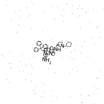 N[C@H]1C[C@@H](C(=O)N2CCC[C@@H]2C(=O)NC[C@H]2CCCN(CC3CCCCC3)C2)N(C(=O)CC(c2ccccc2)(c2ccccc2)c2ccccc2)C1